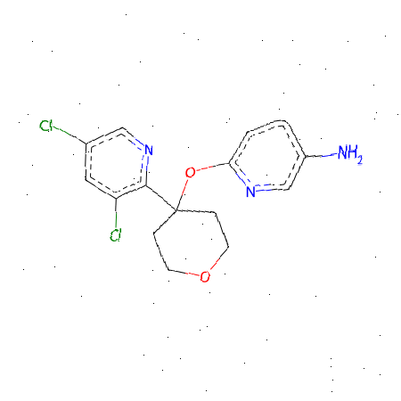 Nc1ccc(OC2(c3ncc(Cl)cc3Cl)CCOCC2)nc1